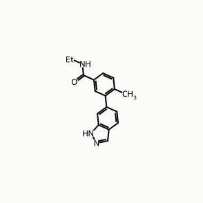 CCNC(=O)c1ccc(C)c(-c2ccc3cn[nH]c3c2)c1